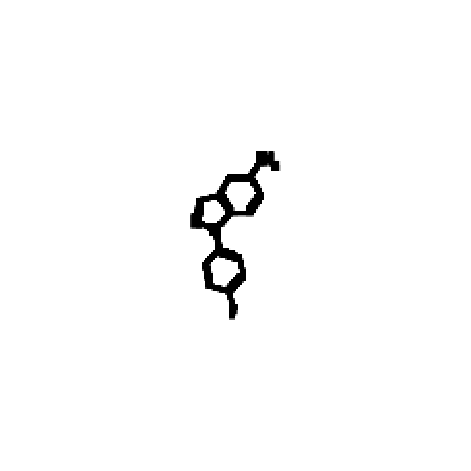 Bc1ccc2c(cnn2-c2ccc(F)cc2)c1